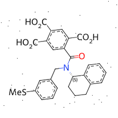 CSc1cccc(CN(C(=O)c2cc(C(=O)O)c(C(=O)O)cc2C(=O)O)[C@H]2CCCc3ccccc32)c1